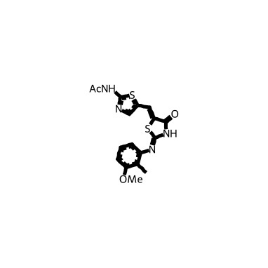 COc1cccc(/N=C2/NC(=O)/C(=C/c3cnc(NC(C)=O)s3)S2)c1C